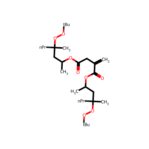 C=C(CC(=O)OC(C)CC(C)(CCC)OOC(C)(C)C)C(=O)OC(C)CC(C)(CCC)OOC(C)(C)C